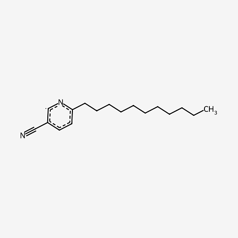 CCCCCCCCCCCc1ccc(C#N)[c]n1